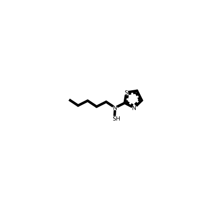 CCCCCN(S)c1nccs1